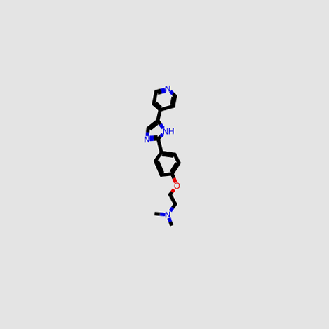 CN(C)CCOc1ccc(-c2ncc(-c3ccncc3)[nH]2)cc1